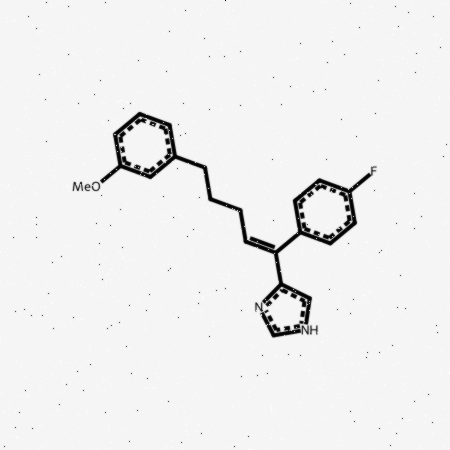 COc1cccc(CCC/C=C(\c2ccc(F)cc2)c2c[nH]cn2)c1